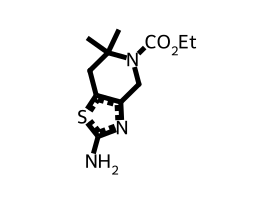 CCOC(=O)N1Cc2nc(N)sc2CC1(C)C